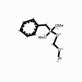 CO[Si](Cc1ccccc1)(OC)OCOC(C)C